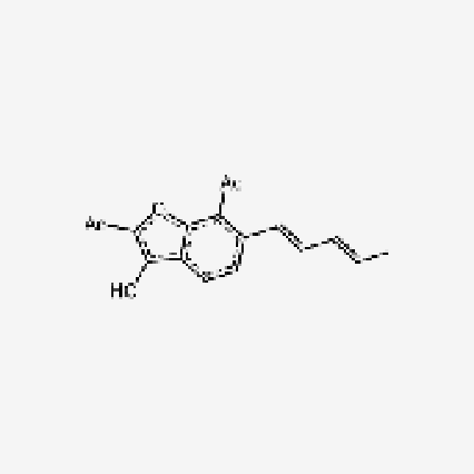 C/C=C/C=C/c1ccc2c(O)c(C(C)=O)oc2c1C(C)=O